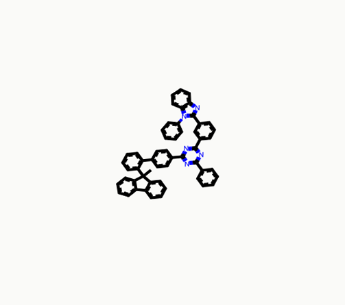 CC1(c2ccccc2-c2ccc(-c3nc(-c4ccccc4)nc(-c4cccc(-c5nc6ccccc6n5-c5ccccc5)c4)n3)cc2)c2ccccc2-c2ccccc21